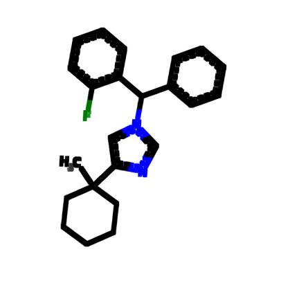 CC1(c2cn(C(c3ccccc3)c3ccccc3F)cn2)CCCCC1